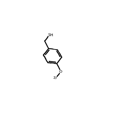 SCc1ccc([O][Zr])cc1